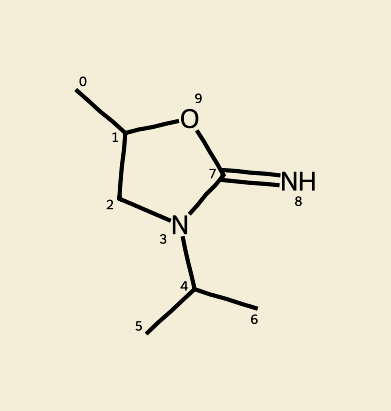 CC1CN(C(C)C)C(=N)O1